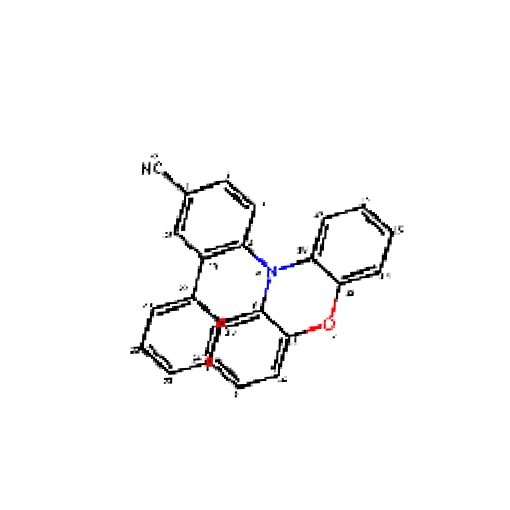 N#Cc1ccc(N2c3ccccc3Oc3ccccc32)c(-c2ccccc2)c1